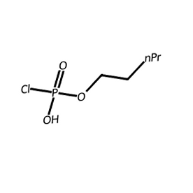 CCCCCOP(=O)(O)Cl